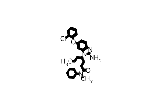 CCCC(CCC(=O)N(C)C1CCCCC1)n1c(N)nc2ccc(Oc3ccccc3Cl)cc21